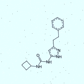 O=C(Nc1cc(CCc2ccccc2)n[nH]1)NC1CCC1